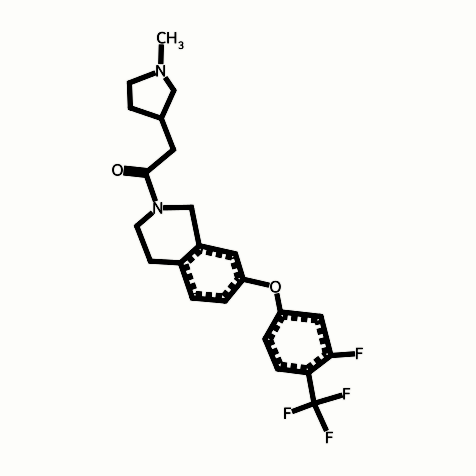 CN1CCC(CC(=O)N2CCc3ccc(Oc4ccc(C(F)(F)F)c(F)c4)cc3C2)C1